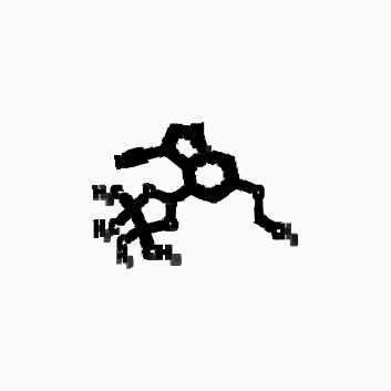 CCOc1cc(B2OC(C)(C)C(C)(C)O2)c2c(C#N)cnn2c1